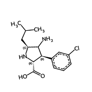 CC(C)C[C@@H]1N[C@@H](C(=O)O)[C@H](c2cccc(Cl)c2)C1N